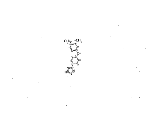 Cc1cc(Oc2ccc(-c3nn[nH]n3)cc2)ncc1[N+](=O)[O-]